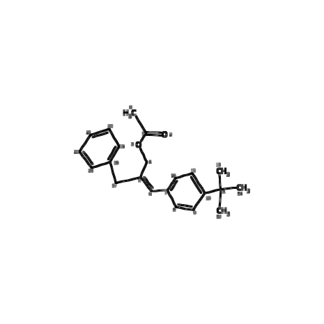 CC(=O)OCC(=Cc1ccc(C(C)(C)C)cc1)Cc1ccccc1